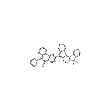 CC1(C)c2ccccc2-c2c1ccc1c2c2ccccc2n1-c1ncc2c(=O)n(-c3ccccc3)c3ccccc3c2n1